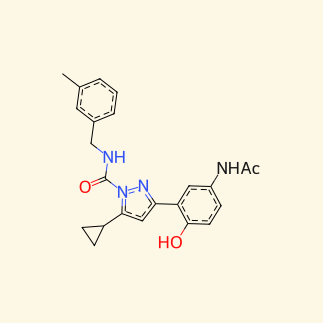 CC(=O)Nc1ccc(O)c(-c2cc(C3CC3)n(C(=O)NCc3cccc(C)c3)n2)c1